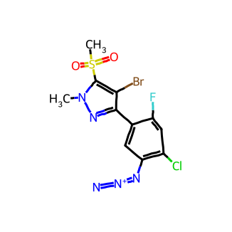 Cn1nc(-c2cc(N=[N+]=[N-])c(Cl)cc2F)c(Br)c1S(C)(=O)=O